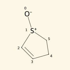 [O-][S+]1C=CCC1